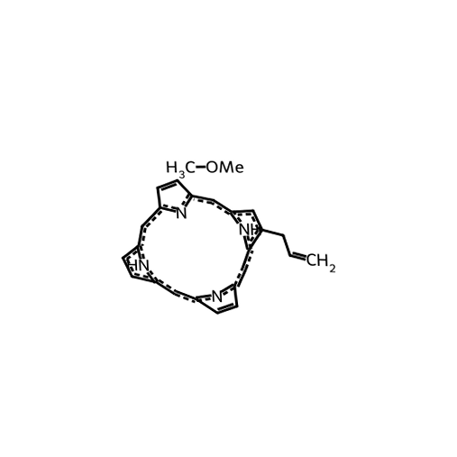 C=CCc1cc2cc3nc(cc4ccc(cc5nc(cc1[nH]2)C=C5)[nH]4)C=C3.COC